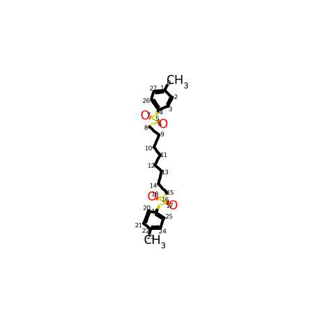 Cc1ccc(S(=O)(=O)CCCCCCCCS(=O)(=O)c2ccc(C)cc2)cc1